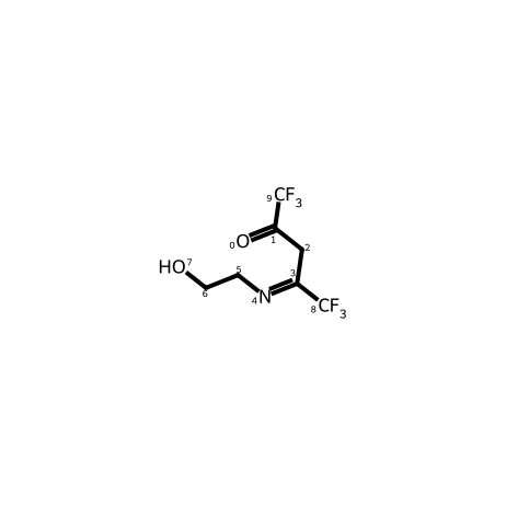 O=C(CC(=NCCO)C(F)(F)F)C(F)(F)F